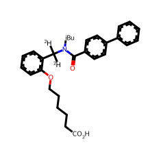 [2H]C([2H])(c1ccccc1OCCCCCC(=O)O)N(C(=O)c1ccc(-c2ccccc2)cc1)C(C)CC